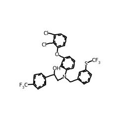 OC(CN(Cc1cccc(SC(F)(F)F)c1)c1cccc(Oc2cccc(Cl)c2Cl)c1)c1ccc(C(F)(F)F)cc1